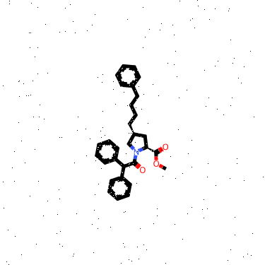 COC(=O)[C@@H]1C[C@H](CCCCc2ccccc2)CN1C(=O)C(c1ccccc1)c1ccccc1